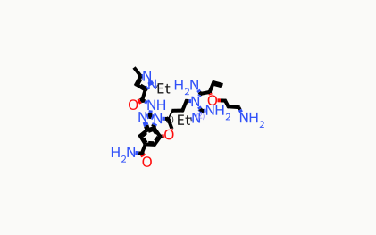 C=CC(OCCCN)C(N)N(CCC[C@H]1COc2cc(C(N)=O)cc3nc(NC(=O)c4cc(C)nn4CC)n1c23)/C(N)=N\CC